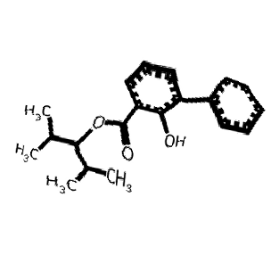 CC(C)C(OC(=O)c1cccc(-c2ccccc2)c1O)C(C)C